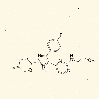 C=C1COC(c2nc(-c3ccc(F)cc3)c(-c3ccnc(NCCO)n3)[nH]2)OC1